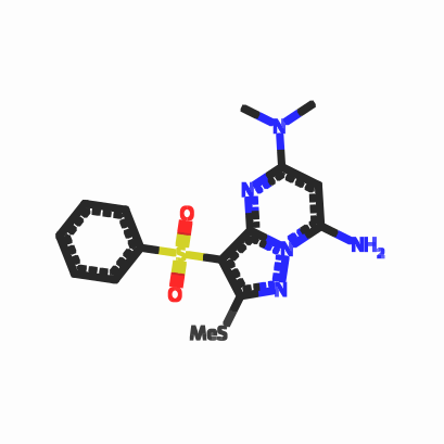 CSc1nn2c(N)cc(N(C)C)nc2c1S(=O)(=O)c1ccccc1